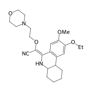 CCOc1cc2c(cc1OC)/C(=C(/C#N)OCCN1CCOCC1)NC1CCCCC21